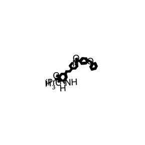 CC(C)CC1(C)NC(=N)C=C(CCC2CCN(C(=O)c3ccc(Oc4ccccc4)cc3)CC2)CC1=O